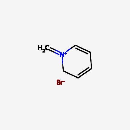 C=[N+]1C=CC=CC1.[Br-]